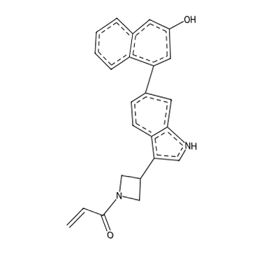 C=CC(=O)N1CC(c2c[nH]c3cc(-c4cc(O)cc5ccccc45)ccc23)C1